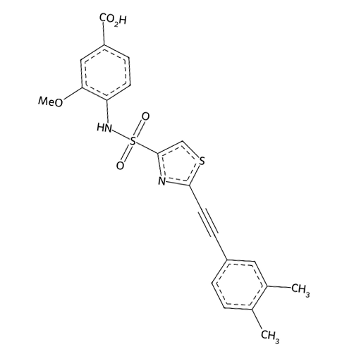 COc1cc(C(=O)O)ccc1NS(=O)(=O)c1csc(C#Cc2ccc(C)c(C)c2)n1